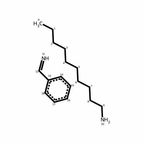 CCCCCCCCCCN.N=Cc1ccccc1